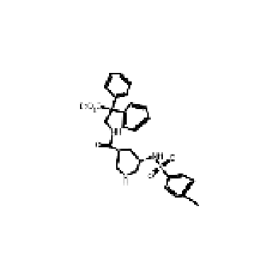 CCOC(=O)C(CNC(=O)[C@@H]1CNC[C@H](NS(=O)(=O)c2ccc(C)cc2)C1)(c1ccccc1)c1ccccc1